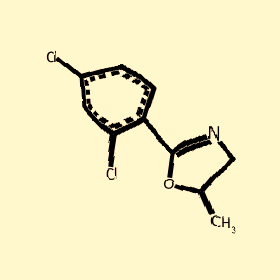 CC1CN=C(c2ccc(Cl)cc2Cl)O1